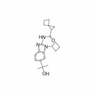 CC(C)(O)c1ccc2nc(NC(=O)C3CC34CCC4)n(C3CCC3)c2c1